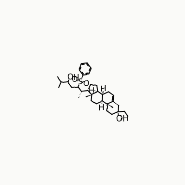 CC[C@]1(O)CC[C@@]2(C)C(=CC[C@H]3[C@@H]4CC[C@H]([C@H](C)C(CC(O)C(C)C)S(=O)(=O)c5ccccc5)[C@@]4(C)CC[C@@H]32)C1